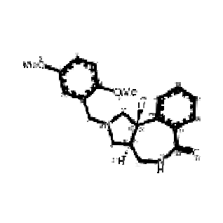 COc1ccc(OC)c(CN2C[C@@H]3CNC(=O)c4ccccc4[C@H]3C2)c1